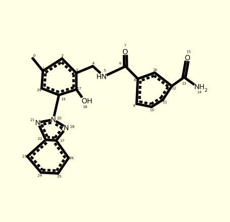 Cc1cc(CNC(=O)c2cccc(C(N)=O)c2)c(O)c(-n2nc3ccccc3n2)c1